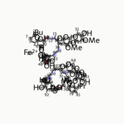 CC[C@H](C)[C@H]1O[C@]2(C=C[C@@H]1C)C[C@@H]1C[C@@H](C/C=C(\C)[C@@H](O[C@H]3C[C@H](OC)[C@@H](O[C@H]4C[C@H](OC)[C@@H](O)[C@H](C)O4)[C@H](C)O3)[C@@H](C)/C=C/C=C3\CO[C@@H]4[C@H](O)C(C)=C[C@@H](C(=O)O1)[C@]34O)O2.CO[C@H]1C[C@H](O[C@H]2[C@H](C)O[C@@H](O[C@@H]3/C(C)=C/C[C@@H]4C[C@@H](C[C@]5(C=C[C@H](C)[C@@H](C(C)C)O5)O4)OC(=O)[C@@H]4C=C(C)[C@@H](O)[C@H]5OC/C(=C\C=C\[C@@H]3C)[C@]54O)C[C@@H]2OC)O[C@@H](C)[C@@H]1O.[Fe+2]